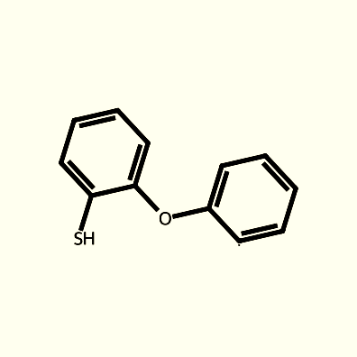 Sc1ccccc1Oc1[c]cccc1